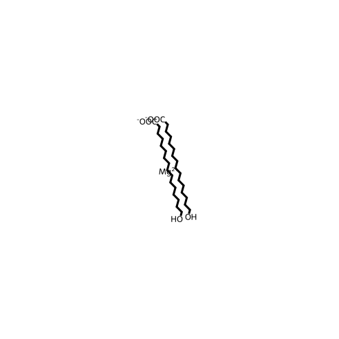 O=C([O-])CCCCCCCCCCCCCCCO.O=C([O-])CCCCCCCCCCCCCCCO.[Mg+2]